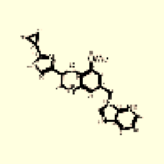 COc1cc(Cn2cnc3cccnc32)cc2c1OC(c1csc(C3CC3)n1)CO2